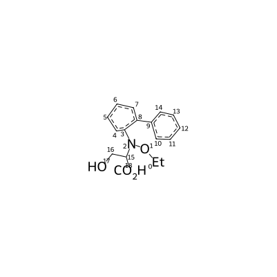 CCON(c1ccccc1-c1ccccc1)C(CO)C(=O)O